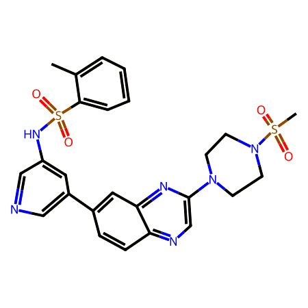 Cc1ccccc1S(=O)(=O)Nc1cncc(-c2ccc3ncc(N4CCN(S(C)(=O)=O)CC4)nc3c2)c1